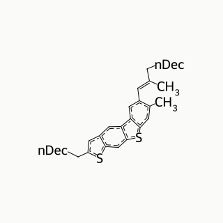 CCCCCCCCCCC/C(C)=C/c1cc2c(cc1C)sc1cc3sc(CCCCCCCCCCC)cc3cc12